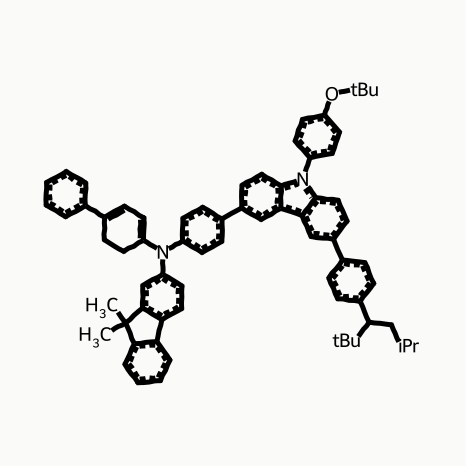 CC(C)CC(c1ccc(-c2ccc3c(c2)c2cc(-c4ccc(N(C5=CC=C(c6ccccc6)CC5)c5ccc6c(c5)C(C)(C)c5ccccc5-6)cc4)ccc2n3-c2ccc(OC(C)(C)C)cc2)cc1)C(C)(C)C